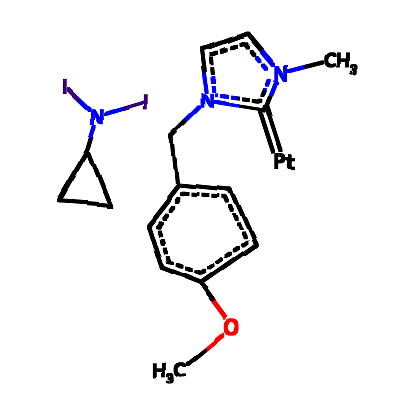 COc1ccc(Cn2ccn(C)[c]2=[Pt])cc1.IN(I)C1CC1